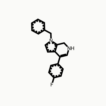 Fc1ccc(C2=CNCc3c2ccn3Cc2ccccc2)cc1